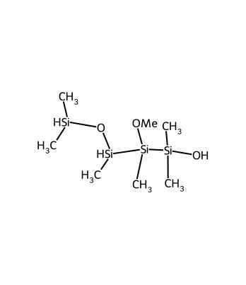 CO[Si](C)([SiH](C)O[SiH](C)C)[Si](C)(C)O